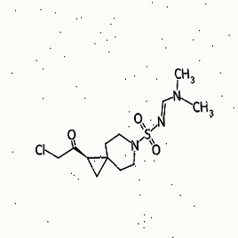 CN(C)/C=N/S(=O)(=O)N1CCC2(CC1)C[C@H]2C(=O)CCl